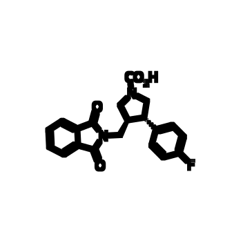 O=C(O)N1C[C@H](CN2C(=O)c3ccccc3C2=O)[C@@H](c2ccc(F)cc2)C1